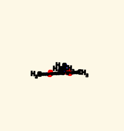 CCCCCC/C=C/COC(=O)CCCCCCCC(CCCCCCCC(=O)OC/C=C/CCCCCC)CN(C)CCN(C)CCN(C)C